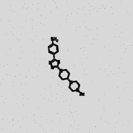 CC(=O)N1CCN(C2CCN(c3nnc(-c4ccc(N)cc4)s3)CC2)CC1